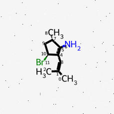 CC(C)=CC1=C(N)[C@@H](C)C[C@@H]1Br